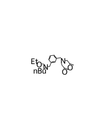 CCCCN(COCC)Cc1cccc(CN(CC2CO2)CC2CO2)c1